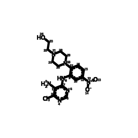 Nc1c(Cl)ncnc1Nc1cc([N+](=O)[O-])ccc1N1CCN(CCO)CC1